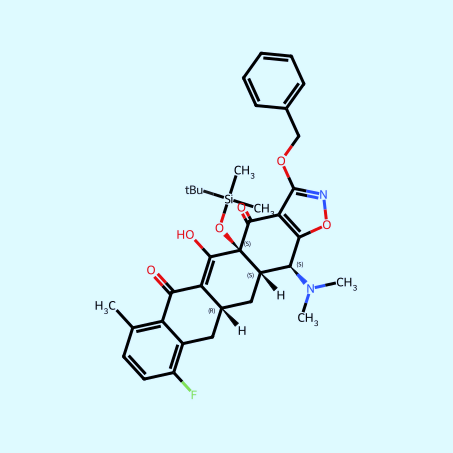 Cc1ccc(F)c2c1C(=O)C1=C(O)[C@]3(O[Si](C)(C)C(C)(C)C)C(=O)c4c(OCc5ccccc5)noc4[C@@H](N(C)C)[C@@H]3C[C@@H]1C2